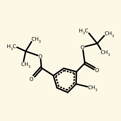 Cc1ccc(C(=O)OC(C)(C)C)cc1C(=O)OC(C)(C)C